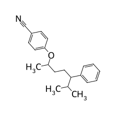 CC(CCC(c1ccccc1)C(C)C)Oc1ccc(C#N)cc1